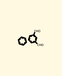 O=Cc1cccc(C=O)c1.c1ccccc1